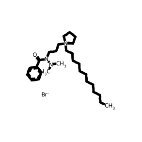 CCCCCCCCCCCC[N+]1(CCCN(C(=O)c2ccccc2)N(C)C)CCCC1.[Br-]